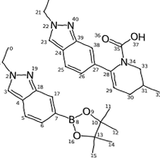 CCn1cc2ccc(B3OC(C)(C)C(C)(C)O3)cc2n1.CCn1cc2ccc(C3=CCC(C)CN3C(=O)O)cc2n1